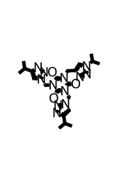 CC(C)c1cn(Cn2c(=O)n(Cc3cn(C(C)C)nn3)c(=O)n(Cn3cc(C(C)C)nn3)c2=O)nn1